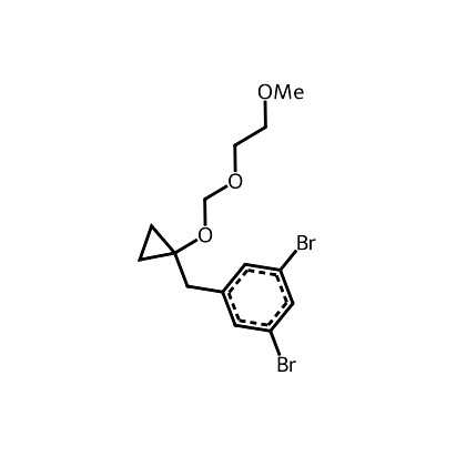 COCCOCOC1(Cc2cc(Br)cc(Br)c2)CC1